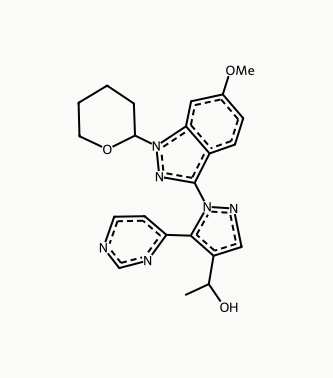 COc1ccc2c(-n3ncc(C(C)O)c3-c3ccncn3)nn(C3CCCCO3)c2c1